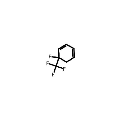 FC(F)(F)C1(F)C=CC=CC1